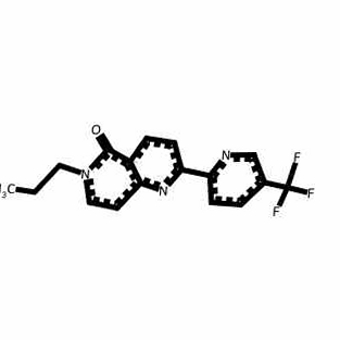 CCCn1ccc2nc(-c3ccc(C(F)(F)F)cn3)ccc2c1=O